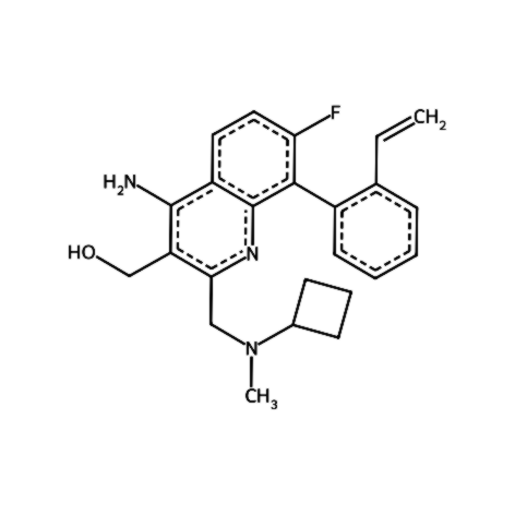 C=Cc1ccccc1-c1c(F)ccc2c(N)c(CO)c(CN(C)C3CCC3)nc12